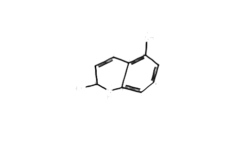 CC1C=Cc2c(N)cccc2N1